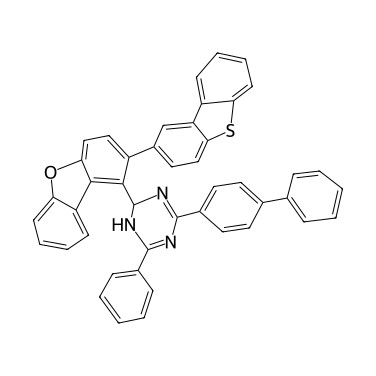 c1ccc(C2=NC(c3ccc(-c4ccccc4)cc3)=NC(c3c(-c4ccc5sc6ccccc6c5c4)ccc4oc5ccccc5c34)N2)cc1